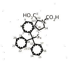 O=C(O)[C@@H]1C[C@@H](SC(c2ccccc2)(c2ccccc2)c2ccccc2)CN1C(=O)O